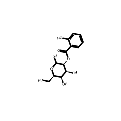 O=C(O[C@H]1C(S)O[C@H](CO)[C@H](O)[C@@H]1O)c1ccccc1O